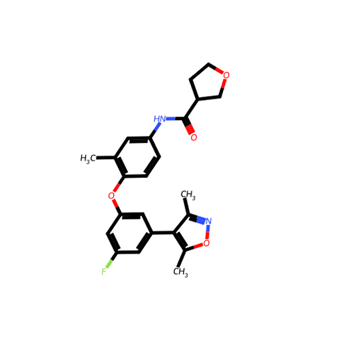 Cc1cc(NC(=O)C2CCOC2)ccc1Oc1cc(F)cc(-c2c(C)noc2C)c1